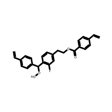 C=Cc1ccc(C(=O)OCCc2ccc(C(OO)c3ccc(C=C)cc3)c(F)c2)cc1